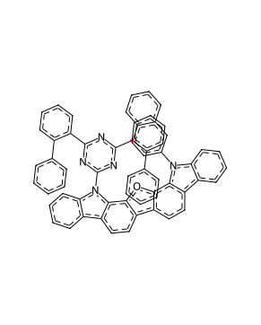 c1ccc(-c2ccccc2-c2nc(-c3ccccc3-c3ccccc3)nc(-n3c4ccccc4c4ccc5c6ccc7c8ccccc8n(-c8ccc9ccccc9c8)c7c6oc5c43)n2)cc1